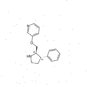 c1ccc([C@@H]2CCN[C@H]2COc2cccnc2)cc1